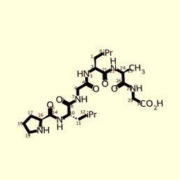 CC(C)C[C@H](NC(=O)CNC(=O)[C@H](CC(C)C)NC(=O)[C@@H]1CCCN1)C(=O)N[C@@H](C)C(=O)NCC(=O)O